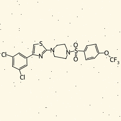 O=S(=O)(c1ccc(OC(F)(F)F)cc1)N1CCN(c2nc(-c3cc(Cl)cc(Cl)c3)cs2)CC1